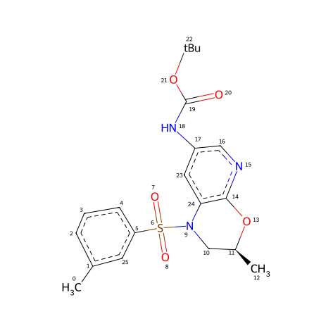 Cc1cccc(S(=O)(=O)N2C[C@H](C)Oc3ncc(NC(=O)OC(C)(C)C)cc32)c1